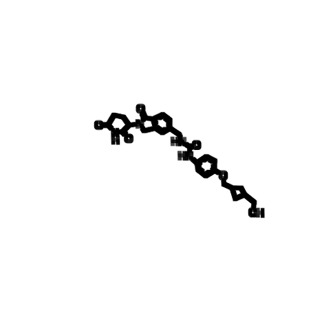 O=C1CCC(N2Cc3cc(CNC(=O)Nc4ccc(OCC5CC(CO)C5)cc4)ccc3C2=O)C(=O)N1